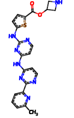 Cc1cccc(-c2nccc(Nc3ccnc(Nc4ccc(C(=O)OC5CNC5)s4)n3)n2)n1